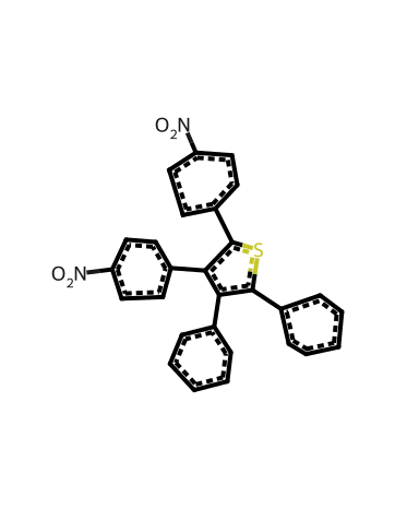 O=[N+]([O-])c1ccc(-c2sc(-c3ccccc3)c(-c3ccccc3)c2-c2ccc([N+](=O)[O-])cc2)cc1